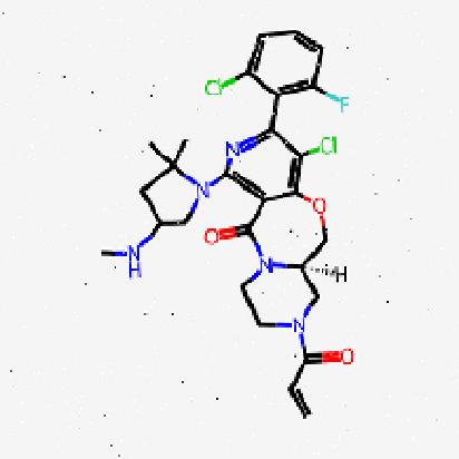 C=CC(=O)N1CCN2C(=O)c3c(N4CC(NC)CC4(C)C)nc(-c4c(F)cccc4Cl)c(Cl)c3OC[C@H]2C1